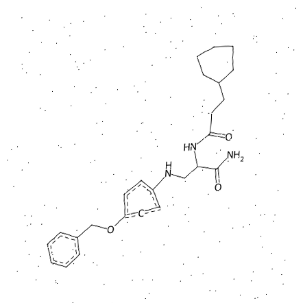 NC(=O)C(CNc1ccc(OCc2ccccc2)cc1)NC(=O)[CH]CC1CCCCC1